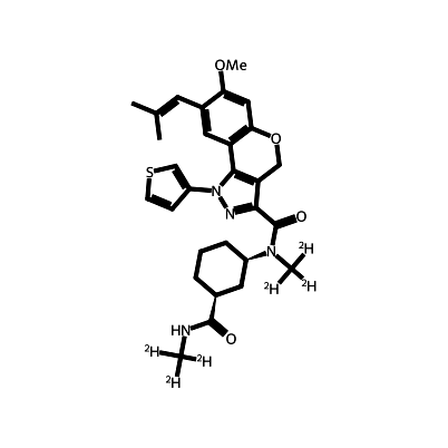 [2H]C([2H])([2H])NC(=O)[C@H]1CCC[C@@H](N(C(=O)c2nn(-c3ccsc3)c3c2COc2cc(OC)c(C=C(C)C)cc2-3)C([2H])([2H])[2H])C1